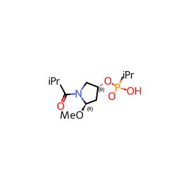 CO[C@@H]1C[C@@H](OP(=O)(O)C(C)C)CN1C(=O)C(C)C